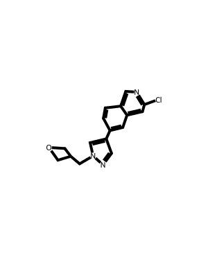 Clc1cc2cc(-c3cnn(CC4COC4)c3)ccc2cn1